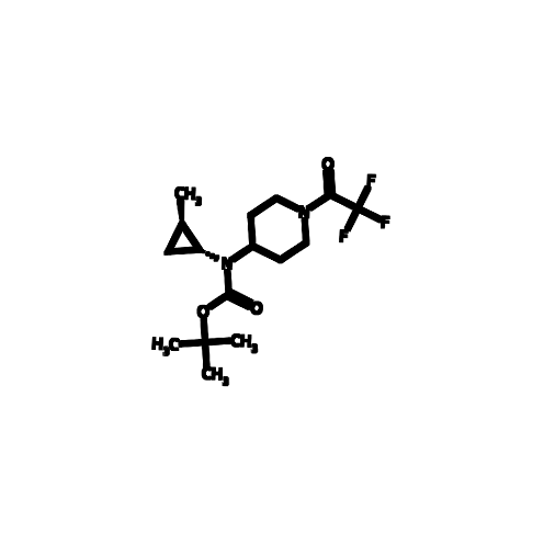 C[C@@H]1C[C@H]1N(C(=O)OC(C)(C)C)C1CCN(C(=O)C(F)(F)F)CC1